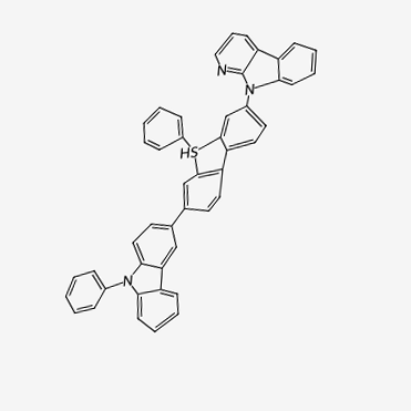 c1ccc(-n2c3ccccc3c3cc(-c4ccc5c(c4)[SH](c4ccccc4)c4cc(-n6c7ccccc7c7cccnc76)ccc4-5)ccc32)cc1